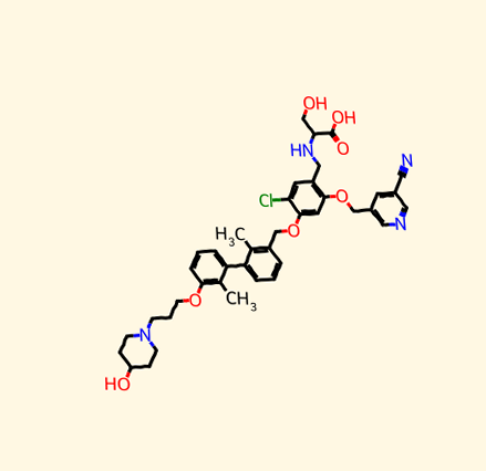 Cc1c(COc2cc(OCc3cncc(C#N)c3)c(CNC(CO)C(=O)O)cc2Cl)cccc1-c1cccc(OCCCN2CCC(O)CC2)c1C